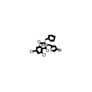 O=C(O)[C@H](Cc1ccccc1)N(Cc1cc(Br)cs1)C(=O)c1ccc(Cl)cc1Cl